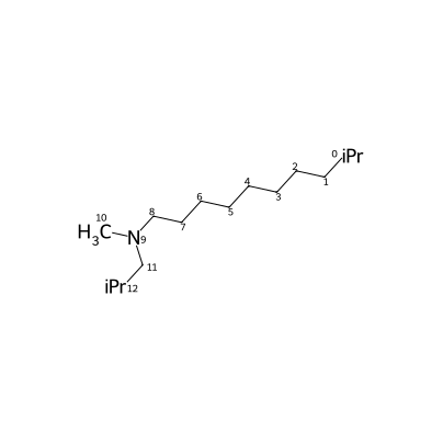 CC(C)CCCCCCCCN(C)CC(C)C